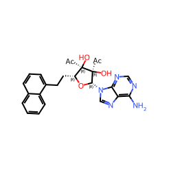 CC(=O)[C@@]1(O)[C@@H](CCc2cccc3ccccc23)O[C@@H](n2cnc3c(N)ncnc32)[C@@]1(O)C(C)=O